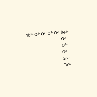 [Be+2].[Nb+5].[O-2].[O-2].[O-2].[O-2].[O-2].[O-2].[O-2].[Sr+2].[Ta+5]